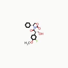 COc1ccc([C@@H](CO)C(=O)N2C(=O)OC[C@H]2c2ccccc2)cc1F